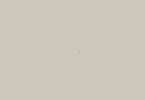 O=C(O)C1CC(OCCOc2ccc(-c3cc(=O)c4cccc(Cl)c4o3)cn2)C1